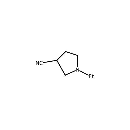 CCN1CCC(C#N)C1